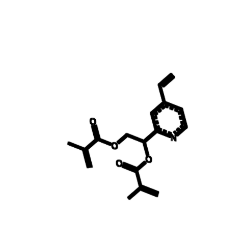 C=Cc1ccnc(C(COC(=O)C(=C)C)OC(=O)C(=C)C)c1